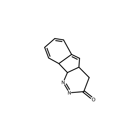 O=C1CC2C=C3C=CC=CC3C2N=N1